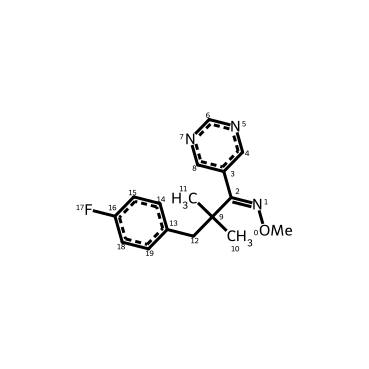 CON=C(c1cncnc1)C(C)(C)Cc1ccc(F)cc1